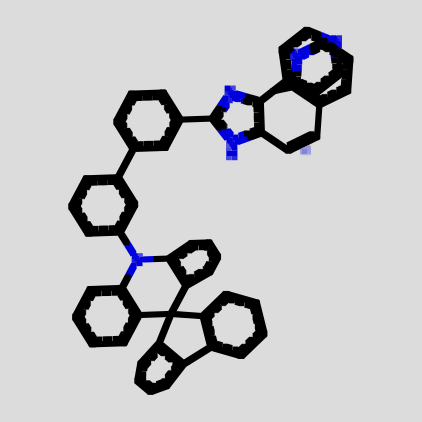 Cc1ncccc1/C=C\c1[nH]c(-c2cccc(-c3cccc(N4c5ccccc5C5(c6ccccc6-c6ccccc65)c5ccccc54)c3)c2)nc1-c1ccncc1